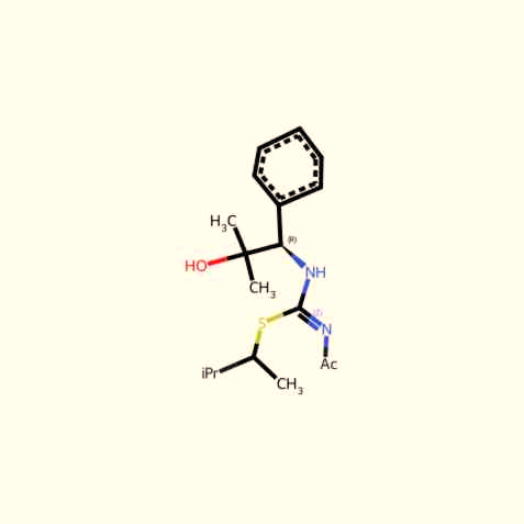 CC(=O)/N=C(/N[C@H](c1ccccc1)C(C)(C)O)SC(C)C(C)C